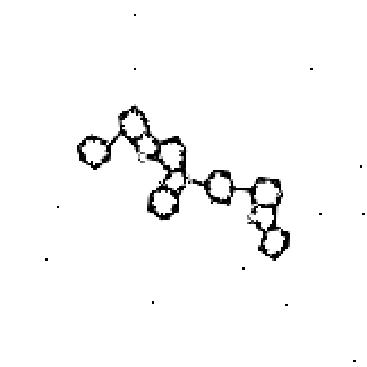 c1ccc(-c2cccc3c2oc2c3ccc3c2c2ccccc2n3-c2ccc(-c3cccc4c3sc3ccccc34)cc2)cc1